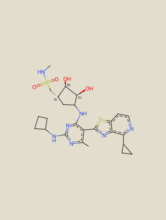 CNS(=O)(=O)C[C@H]1CC(Nc2nc(NC3CCC3)nc(C)c2-c2nc3c(C4CC4)nccc3s2)[C@H](O)[C@@H]1O